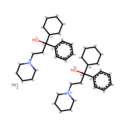 Cl.OC(CCN1CCCCC1)(c1ccccc1)C1CCCCC1.OC(CCN1CCCCC1)(c1ccccc1)C1CCCCC1